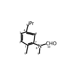 Cc1ccc(C(C)C)cc1N(C)C=O